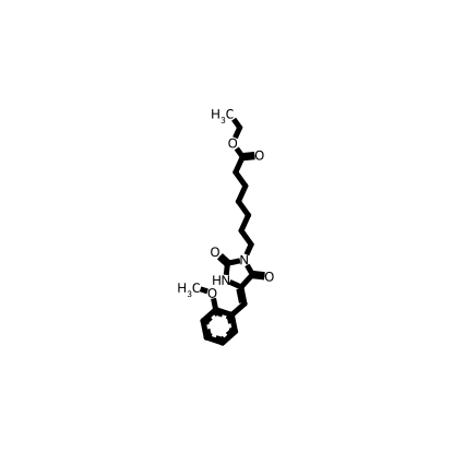 CCOC(=O)CCCCCCN1C(=O)NC(=Cc2ccccc2OC)C1=O